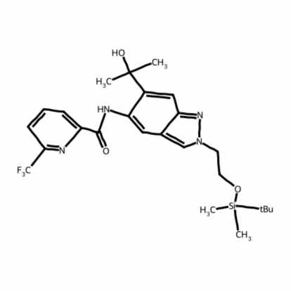 CC(C)(O)c1cc2nn(CCO[Si](C)(C)C(C)(C)C)cc2cc1NC(=O)c1cccc(C(F)(F)F)n1